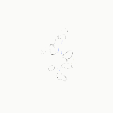 CC1(C)c2ccccc2N(c2ccc3sc4ccc(-n5c6ccc(C#N)cc6c6cc(C#N)ccc65)cc4c3c2)c2ccccc21